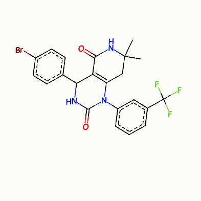 CC1(C)CC2=C(C(=O)N1)C(c1ccc(Br)cc1)NC(=O)N2c1cccc(C(F)(F)F)c1